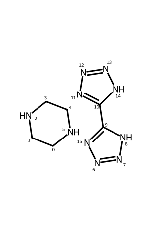 C1CNCCN1.n1n[nH]c(-c2nnn[nH]2)n1